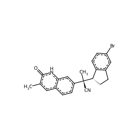 Cc1cc2ccc([C@@](C)(C#N)[C@H]3CCc4cc(Br)ccc43)cc2[nH]c1=O